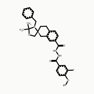 CC(C)Oc1ccc(C(=O)NNC(=O)c2ccc3c(c2)C[C@@]2(CC3)COC(C)(C)N2Cc2ccccc2)cc1F